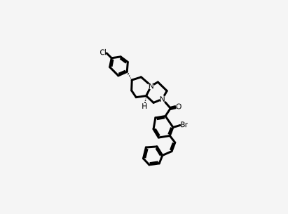 O=C(c1cccc(/C=C\c2ccccc2)c1Br)N1CCN2C[C@@H](c3ccc(Cl)cc3)CC[C@@H]2C1